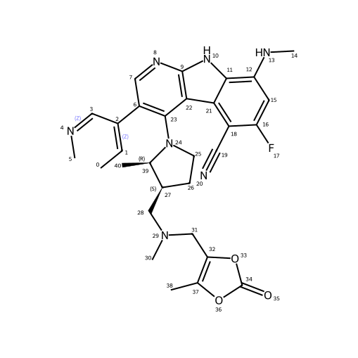 C/C=C(\C=N/C)c1cnc2[nH]c3c(NC)cc(F)c(C#N)c3c2c1N1CC[C@@H](CN(C)Cc2oc(=O)oc2C)[C@H]1C